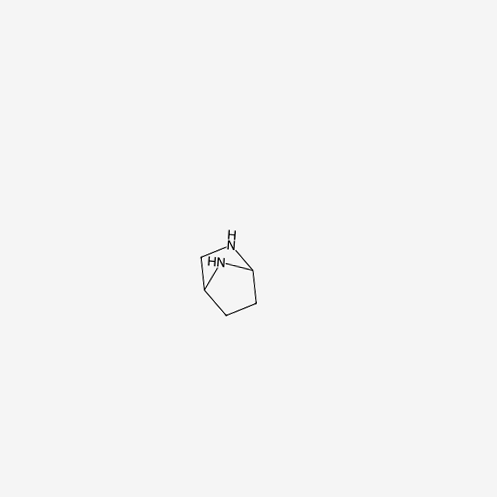 C1CC2NCC1N2